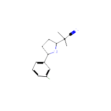 CC(C)(C#N)C1CCC(c2cccc(Cl)c2)N1